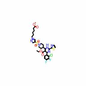 CCOC(=O)C1=C(C2CCN(S(=O)(=O)c3cnn(CCCCCC(=O)OC)c3)CC2)NC(c2nccs2)=NC1c1ccc(F)c(F)c1Cl